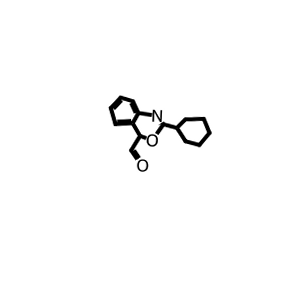 O=CC1OC(C2CCCCC2)=Nc2ccccc21